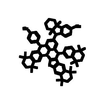 CC(C)(C)c1ccc(N2c3cc4c(cc3B3c5sc6cc7c(cc6c5N(c5ccc6c(c5)C(C)(C)CCC6(C)C)c5cc(N6c8ccc(C(C)(C)C)cc8C8(C)CCCCC68C)cc2c53)C(C)(C)CCC7(C)C)C(C)(C)CCC4(C)C)cc1